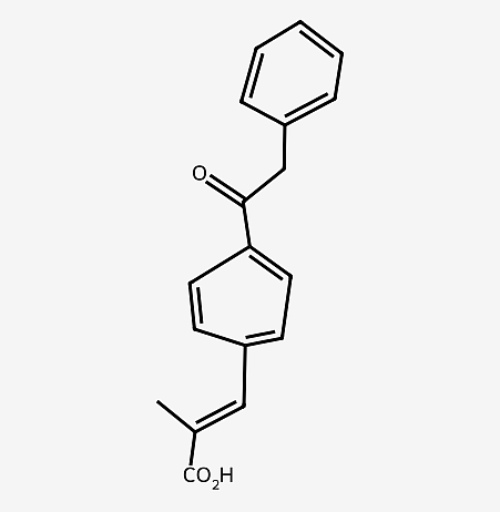 CC(=Cc1ccc(C(=O)Cc2ccccc2)cc1)C(=O)O